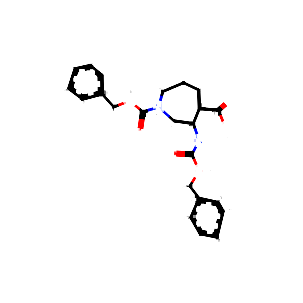 O=C(NC1CN(C(=O)OCc2ccccc2)CCCC1C(=O)O)OCc1ccccc1